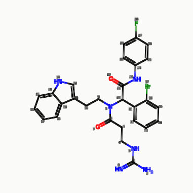 N=C(N)NCCC(=O)N(CCc1c[nH]c2ccccc12)C(C(=O)Nc1ccc(F)cc1)c1ccccc1Br